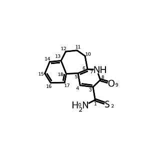 NC(=S)c1cc2c([nH]c1=O)CCCc1ccccc1-2